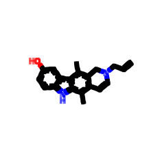 C=CCN1C=Cc2c(c(C)c3c([nH]c4ccc(O)cc43)c2C)C1